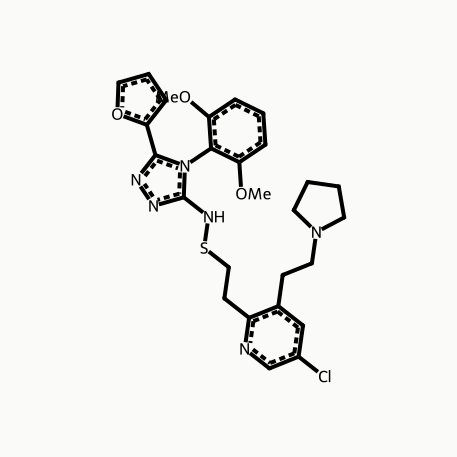 COc1cccc(OC)c1-n1c(NSCCc2ncc(Cl)cc2CCN2CCCC2)nnc1-c1ccco1